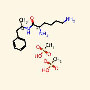 CS(=O)(=O)O.CS(=O)(=O)O.C[C@@H](Cc1ccccc1)NC(=O)[C@H](N)CCCCN